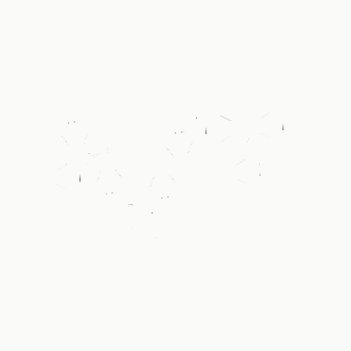 Cc1cc(C)c(B(c2ccc3oc4ccc(-c5ccc(C67CC8CC(C6)CC(c6ccc(P9(=O)c%10ccccc%10-c%10ccccc%109)cc6)(C8)C7)cc5)cc4c3c2)c2c(C)cc(C)cc2C)c(C)c1